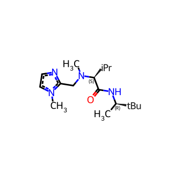 CC(C)[C@@H](C(=O)N[C@H](C)C(C)(C)C)N(C)Cc1nccn1C